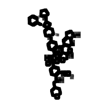 Cc1ccccc1[C@@H]1CCCN1C1CC2(CCN(c3ccc(C(=O)NS(=O)(=O)c4ccc(NCC5CCOCC5)c([N+](=O)[O-])c4)c(N4c5cc6cc[nH]c6nc5O[C@@H]5COC[C@H]54)c3)[C@@H](C)C2)C1